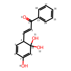 O=C(C=CC1C=CC(O)=CC1(O)O)c1ccccc1